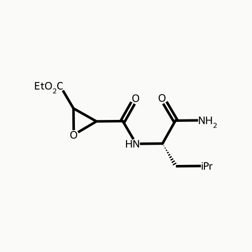 CCOC(=O)C1OC1C(=O)N[C@@H](CC(C)C)C(N)=O